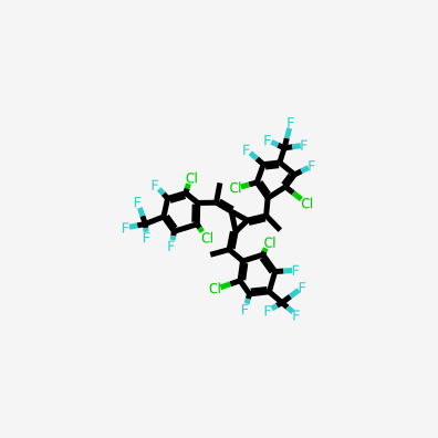 CC(=C1C(=C(C)c2c(Cl)c(F)c(C(F)(F)F)c(F)c2Cl)C1=C(C)c1c(Cl)c(F)c(C(F)(F)F)c(F)c1Cl)c1c(Cl)c(F)c(C(F)(F)F)c(F)c1Cl